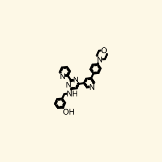 Oc1cccc(CNc2cc(-c3cncc(-c4ccc(N5CCOCC5)cc4)c3)nc(-c3ccccn3)n2)c1